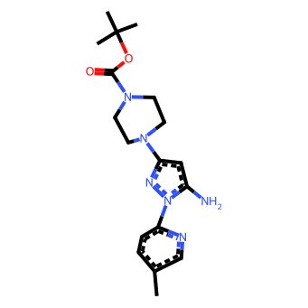 Cc1ccc(-n2nc(N3CCN(C(=O)OC(C)(C)C)CC3)cc2N)nc1